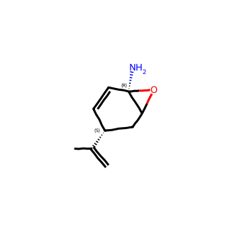 C=C(C)[C@@H]1C=C[C@@]2(N)OC2C1